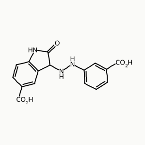 O=C(O)c1cccc(NNC2C(=O)Nc3ccc(C(=O)O)cc32)c1